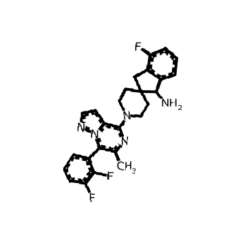 Cc1nc(N2CCC3(CC2)Cc2c(F)cccc2C3N)c2ccnn2c1-c1cccc(F)c1F